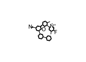 Cc1cc(-c2c(C)ccc3c2oc2c(-c4cccc(-c5ccccc5)c4)cc(C#N)cc23)[n+](C)cc1F